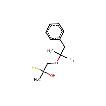 CC(O)(S)COC(C)(C)Cc1ccccc1